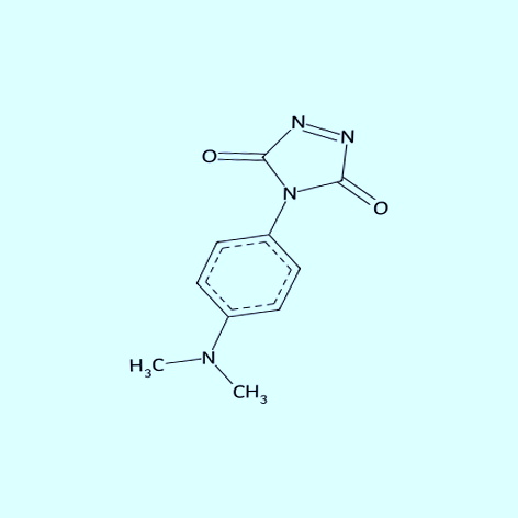 CN(C)c1ccc(N2C(=O)N=NC2=O)cc1